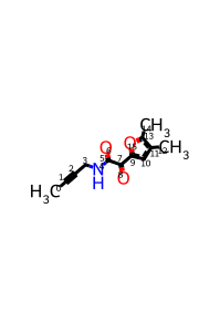 CC#CCNC(=O)C(=O)c1cc(C)c(C)o1